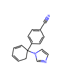 N#Cc1ccc(C2(n3ccnc3)C=CC=CC2)cc1